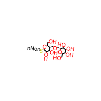 CCCCCCCCCS[C@@H]1OC(CO)[C@@H](COC[C@H]2OC(CO)[C@@H](O)C(O)[C@@H]2O)C(O)[C@@H]1O